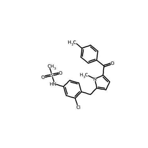 Cc1ccc(C(=O)c2ccc(Cc3ccc(NS(C)(=O)=O)cc3Cl)n2C)cc1